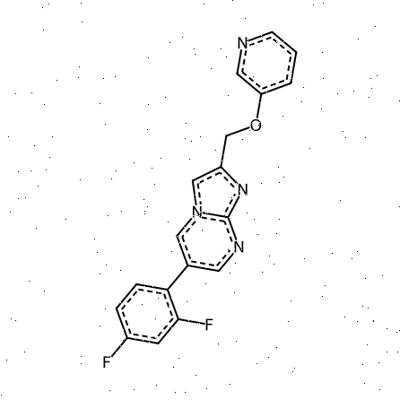 Fc1ccc(-c2cnc3nc(COc4cccnc4)cn3c2)c(F)c1